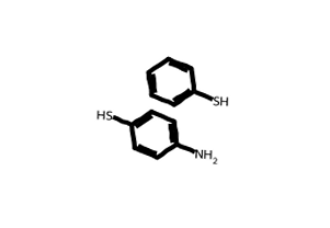 Nc1ccc(S)cc1.Sc1ccccc1